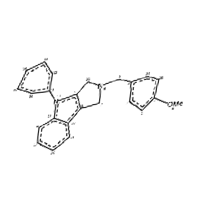 COc1ccc(CN2Cc3c(n(-c4ccccc4)c4ccccc34)C2)cc1